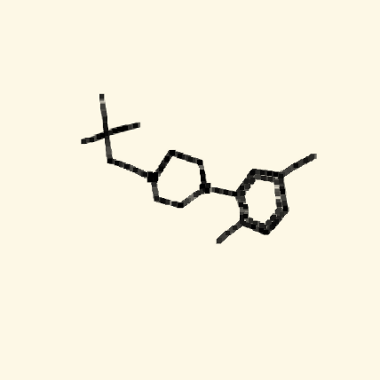 Cc1ccc(C)c(N2CCN(CC(C)(C)C)CC2)c1